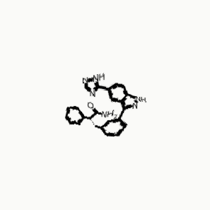 NC(=O)[C@H](Cc1cccc(-c2n[nH]c3ccc(-c4ncn[nH]4)cc23)c1)c1ccccc1